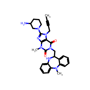 CC#CCn1c(N2CCCC(N)C2)nc2c1c(=O)n(CC1Nc3ccccc3N(C)c3ccccc31)c(=O)n2C